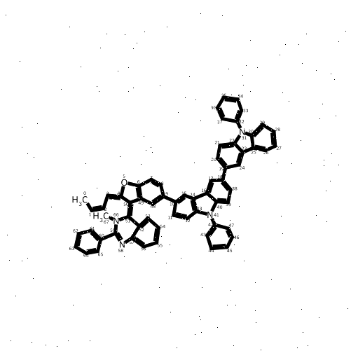 C\C=C/C=c1/oc2ccc(-c3ccc4c(c3)c3cc(-c5ccc6c(c5)c5ccccc5n6-c5ccccc5)ccc3n4-c3ccccc3)cc2/c1=C1\c2ccccc2N=C(c2ccccc2)N1C